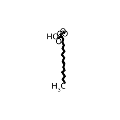 CCCCCCCC=CCCCCCCCC1(C(=O)O)OOO1